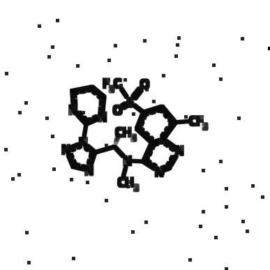 C[C@@H](c1ncnn1-c1ncccn1)N(C)c1ncnc2c(C(F)(F)F)cc(S(=O)(=O)C(F)(F)F)cc12